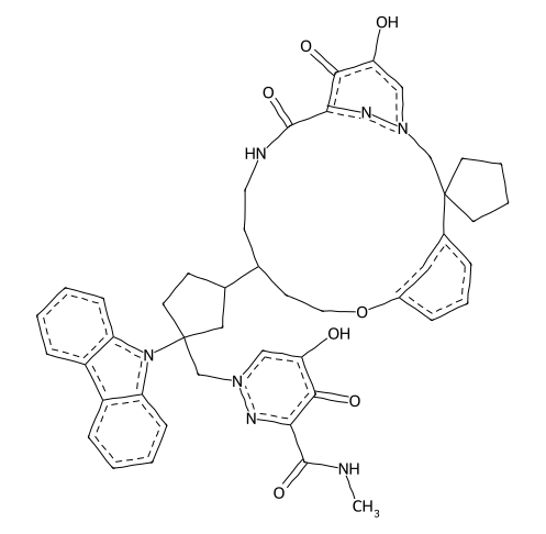 CNC(=O)c1nn(CC2(n3c4ccccc4c4ccccc43)CCC(C3CCNC(=O)c4nn(cc(O)c4=O)CC4(CCCC4)c4cccc(c4)OCC3)C2)cc(O)c1=O